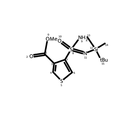 COC(=O)c1cscc1S(N)(=O)=N[Si](C)(C)C(C)(C)C